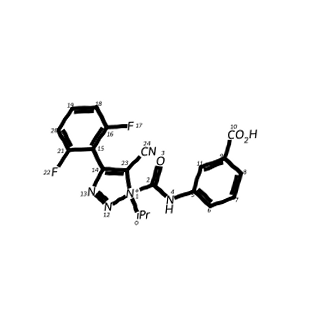 CC(C)[N+]1(C(=O)Nc2cccc(C(=O)O)c2)N=NC(c2c(F)cccc2F)=C1C#N